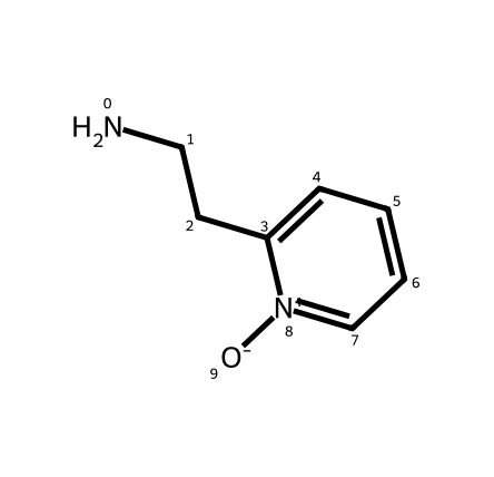 NCCc1cccc[n+]1[O-]